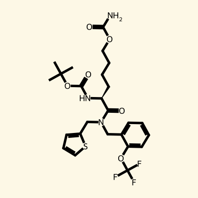 CC(C)(C)OC(=O)N[C@@H](CCCCOC(N)=O)C(=O)N(Cc1cccs1)Cc1ccccc1OC(F)(F)F